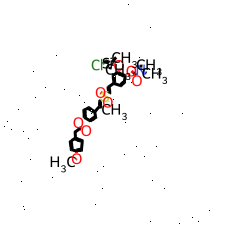 COc1ccc(CC(=O)Oc2ccc(/C(C)=C/S(=O)(=O)/C=C/c3ccc(OC(=O)N(C)C)c(O[Si](C)(C)CCl)c3)cc2)cc1